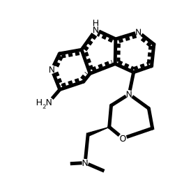 CN(C)C[C@H]1CN(c2ccnc3[nH]c4cnc(N)cc4c23)CCO1